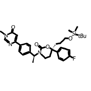 C[C@@H](c1ccc(-c2cc(=O)n(C)cn2)cc1)N1CC[C@](CCCO[Si](C)(C)C(C)(C)C)(c2ccc(F)cc2)OC1=O